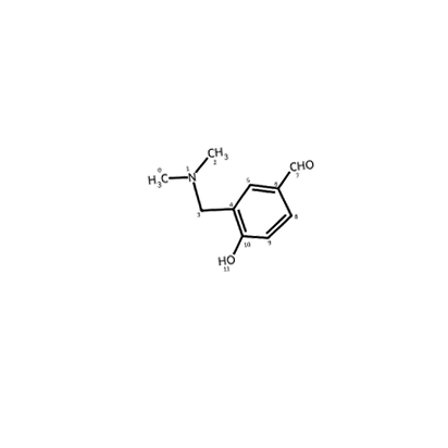 CN(C)Cc1cc(C=O)ccc1O